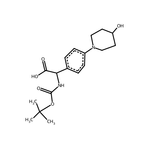 CC(C)(C)OC(=O)NC(C(=O)O)c1ccc(N2CCC(O)CC2)cc1